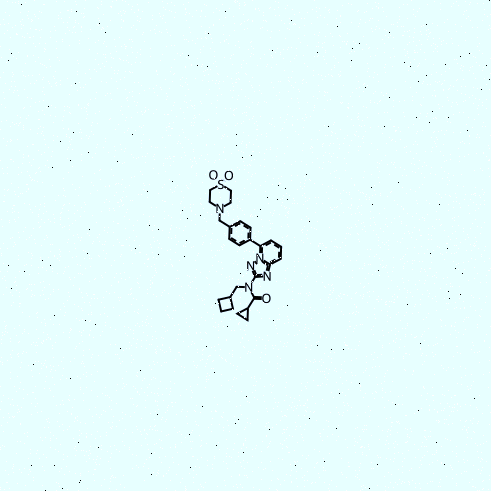 O=C(C1CC1)N(CC1CCC1)c1nc2cccc(-c3ccc(CN4CCS(=O)(=O)CC4)cc3)n2n1